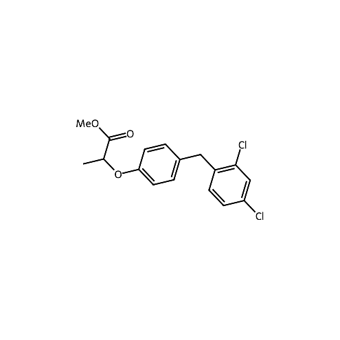 COC(=O)C(C)Oc1ccc(Cc2ccc(Cl)cc2Cl)cc1